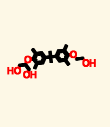 Cc1cc(C(C)(C)c2cc(C)c(OC(CO)CO)c(C)c2)cc(C)c1OCCO